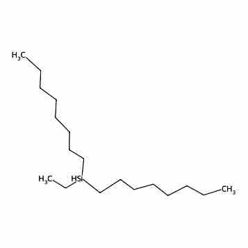 CCCCCCCC[SiH](CC)CCCCCCCC